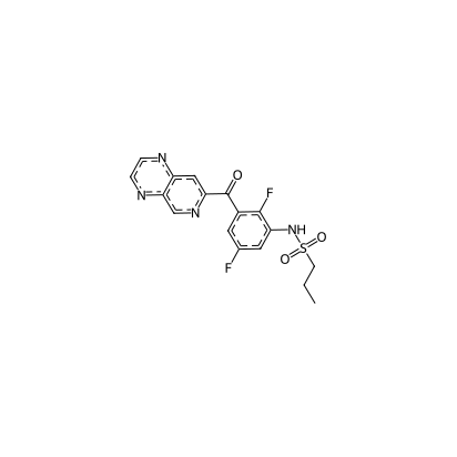 CCCS(=O)(=O)Nc1cc(F)cc(C(=O)c2cc3nccnc3cn2)c1F